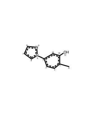 Cc1ccc(-n2cccn2)cc1O